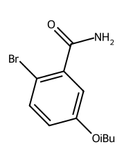 CC(C)COc1ccc(Br)c(C(N)=O)c1